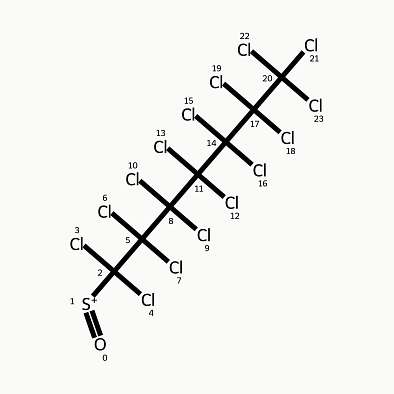 O=[S+]C(Cl)(Cl)C(Cl)(Cl)C(Cl)(Cl)C(Cl)(Cl)C(Cl)(Cl)C(Cl)(Cl)C(Cl)(Cl)Cl